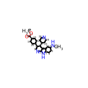 CNc1ccc2[nH]c3ncc(-c4ccc(C(=O)OC)cc4)c(-c4ccncc4)c3c2c1